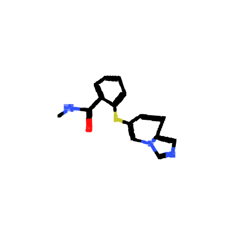 CNC(=O)c1ccccc1Sc1ccc2cncn2c1